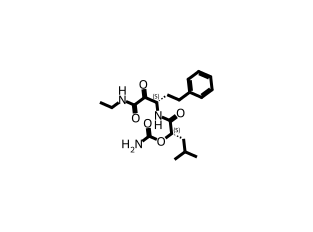 CCNC(=O)C(=O)[C@H](CCc1ccccc1)NC(=O)[C@H](CC(C)C)OC(N)=O